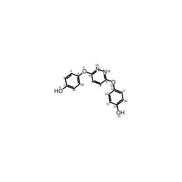 Oc1ccc(Oc2ccc(Oc3ccc(O)cc3)nn2)cc1